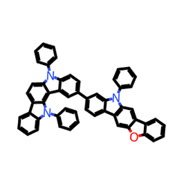 c1ccc(-n2c3cc(-c4ccc5c(c4)c4c(ccc6c7ccccc7n(-c7ccccc7)c64)n5-c4ccccc4)ccc3c3cc4oc5ccccc5c4cc32)cc1